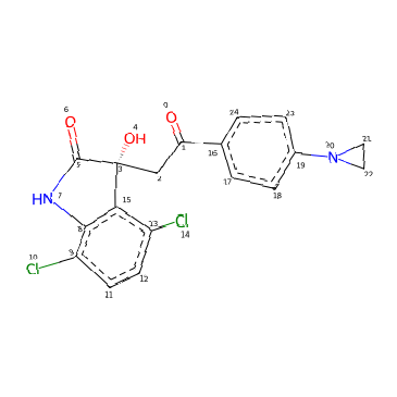 O=C(C[C@]1(O)C(=O)Nc2c(Cl)ccc(Cl)c21)c1ccc(N2CC2)cc1